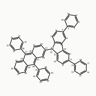 c1ccc(-c2ccc3c(c2)c2cc(-c4ccccc4)ccc2n3-c2ccc3c(-c4ccccc4)c4ccccc4c(-c4ccccc4)c3c2)cc1